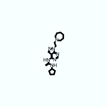 C=C(Nc1ncnc2c1cnn2CCN1CCCCCC1)NC1CCCC1